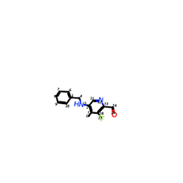 Cc1c(NCc2ccccc2)cnc(C=O)c1F